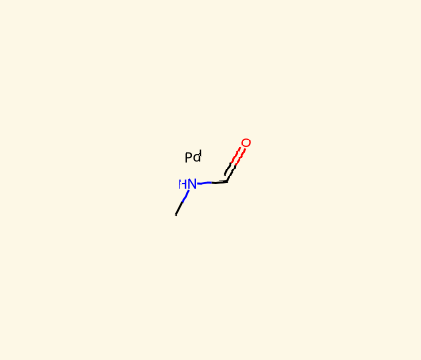 CNC=O.[Pd]